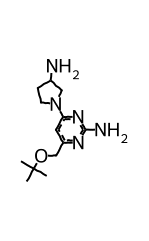 CC(C)(C)OCc1cc(N2CCC(N)C2)nc(N)n1